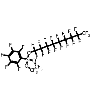 Fc1c(F)c(F)c([Si](OC(F)(F)F)(OC(F)(F)F)OC(F)(F)C(F)(F)C(F)(F)C(F)(F)C(F)(F)C(F)(F)C(F)(F)C(F)(F)C(F)(F)F)c(F)c1F